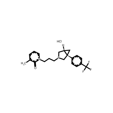 Cc1cccn(CCCN2C[C@@H]3C[C@]3(c3ccc(C(F)(F)F)cc3)C2)c1=O.Cl